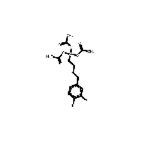 CC(=O)O[Si](CCCCc1ccc(F)c(F)c1)(OC(C)=O)OC(C)=O